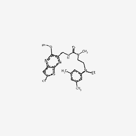 CCN(CCN(C)C(=O)NCc1nc2sc(Cl)cc2nc1OC(C)C)c1cc(C)cc(C)c1